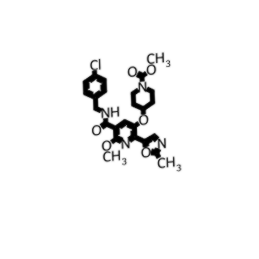 COC(=O)N1CCC(Oc2cc(C(=O)NCc3ccc(Cl)cc3)c(OC)nc2-c2cnc(C)o2)CC1